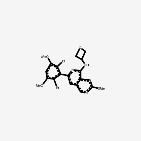 CCc1c(OC)cc(OC)c(Cl)c1-c1cc2cnc(SC)nc2c(NC2COC2)n1